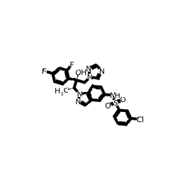 C[C@@H](n1ncc2cc(NS(=O)(=O)c3cccc(Cl)c3)ccc21)[C@](O)(Cn1cncn1)c1ccc(F)cc1F